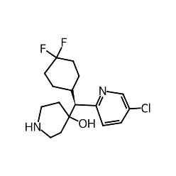 OC1([C@H](c2ccc(Cl)cn2)C2CCC(F)(F)CC2)CCNCC1